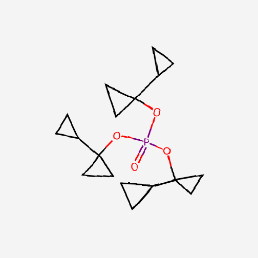 O=P(OC1(C2CC2)CC1)(OC1(C2CC2)CC1)OC1(C2CC2)CC1